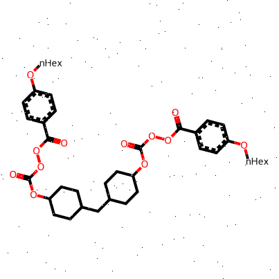 CCCCCCOc1ccc(C(=O)OOC(=O)OC2CCC(CC3CCC(OC(=O)OOC(=O)c4ccc(OCCCCCC)cc4)CC3)CC2)cc1